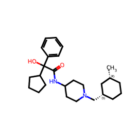 C[C@@H]1CCC[C@H](CN2CCC(NC(=O)C(O)(c3ccccc3)C3CCCC3)CC2)C1